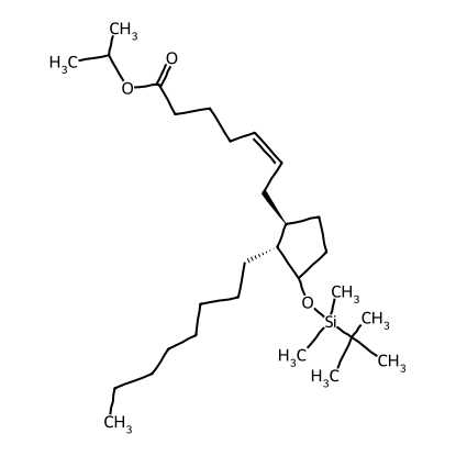 CCCCCCCC[C@H]1C(O[Si](C)(C)C(C)(C)C)CC[C@@H]1C/C=C\CCCC(=O)OC(C)C